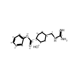 Cl.N=C(N)NC[C@H]1CC[C@H](C(=O)Oc2cccnc2)CC1